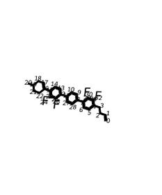 C=CCCc1ccc(-c2ccc(-c3ccc(C4=CCC(C)CC4)c(F)c3F)cc2)c(F)c1F